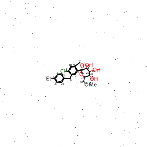 CCc1ccc(Cc2cc3c(cc2Cl)CO[C@]32O[C@H](COC)[C@@H](O)[C@H](O)[C@H]2O)cc1